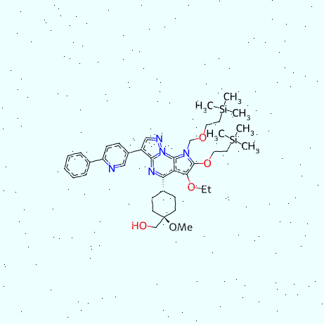 CCOc1c(OCC[Si](C)(C)C)n(COCC[Si](C)(C)C)c2c1c([C@H]1CC[C@](CO)(OC)CC1)nc1c(-c3ccc(-c4ccccc4)nc3)cnn12